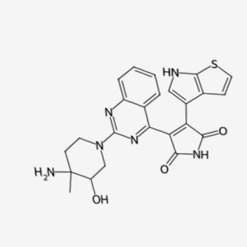 CC1(N)CCN(c2nc(C3=C(c4c[nH]c5sccc45)C(=O)NC3=O)c3ccccc3n2)CC1O